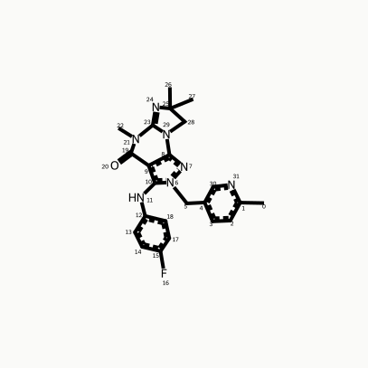 Cc1ccc(Cn2nc3c(c2Nc2ccc(F)cc2)C(=O)N(C)C2=NC(C)(C)CN23)cn1